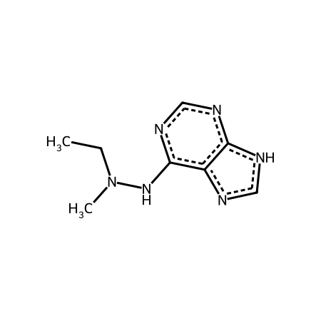 CCN(C)Nc1ncnc2[nH]cnc12